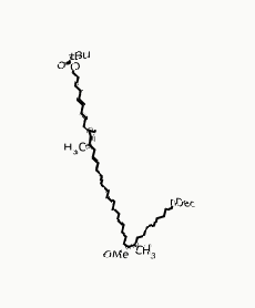 CCCCCCCCCCCCCCCCCC[C@H](C)[C@H](CCCCCCCCCCCCCC=CC[C@H](C)[C@H]1C[C@@H]1CCCCCCCCCOC(=O)C(C)(C)C)OC